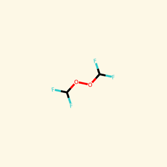 FC(F)OOC(F)F